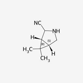 CC1(C)[C@@H]2C(C#N)NC[C@@H]21